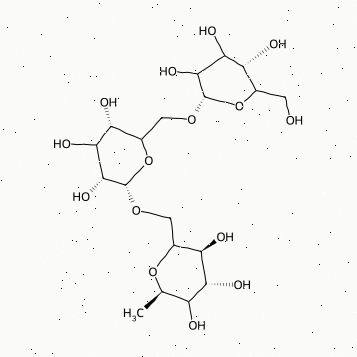 C[C@H]1OC(CO[C@H]2OC(CO[C@H]3OC(CO)[C@@H](O)C(O)C3O)[C@@H](O)C(O)[C@H]2O)[C@@H](O)[C@H](O)C1O